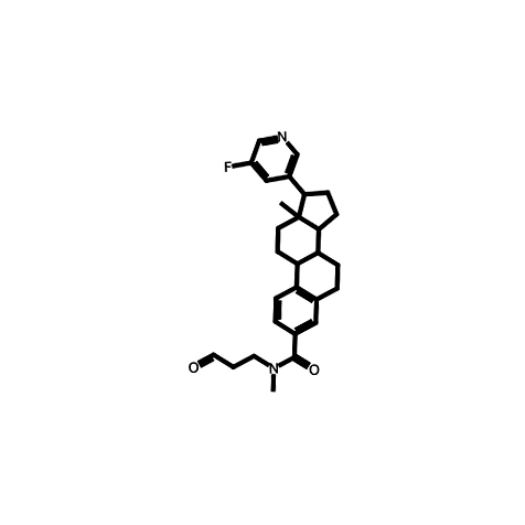 CN(CCC=O)C(=O)c1ccc2c(c1)CCC1C2CCC2(C)C(c3cncc(F)c3)CCC12